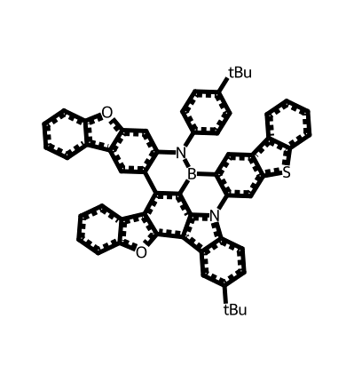 CC(C)(C)c1ccc(N2B3c4cc5c(cc4-n4c6ccc(C(C)(C)C)cc6c6c7oc8ccccc8c7c(c3c64)-c3cc4c(cc32)oc2ccccc24)sc2ccccc25)cc1